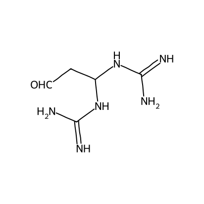 N=C(N)NC(CC=O)NC(=N)N